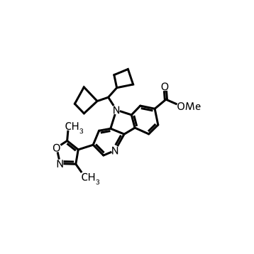 COC(=O)c1ccc2c3ncc(-c4c(C)noc4C)cc3n(C(C3CCC3)C3CCC3)c2c1